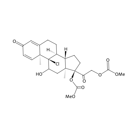 COC(=O)OCC(=O)[C@@]1(OC(=O)OC)CC[C@H]2[C@@H]3CCC4=CC(=O)C=C[C@]4(C)[C@@]3(Cl)C(O)C[C@@]21C